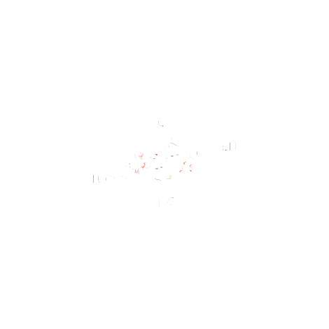 CCCCOP(=O)(OCCCC)c1ccsc1-c1sccc1P(=O)(OCCCC)OCCCC